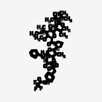 CC[C@H](C)[C@@H]([C@@H](CC(=O)N1CCC[C@H]1[C@H](OC)[C@@H](C)C(=O)N[C@@H](CCc1ccccc1)C(=O)NS(=O)(=O)Cc1ccc(NC(=O)C(F)(F)F)cc1)OC)N(C)C(=O)[C@@H](NC(=O)[C@H](C(C)C)N(C)C)C(C)C